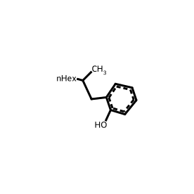 CCCCCCC(C)Cc1ccccc1O